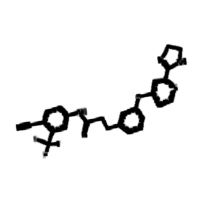 N#Cc1ccc(NC(=O)CCc2cccc(Oc3ccnc(C4=NCCN4)c3)c2)cc1C(F)(F)F